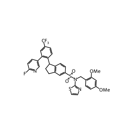 COc1ccc(CN(c2nccs2)S(=O)(=O)c2ccc3c(c2)CCC3c2ccc(C(F)(F)F)cc2-c2ccc(F)nc2)c(OC)c1